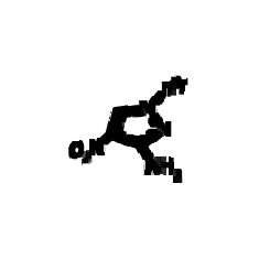 CCCn1cc([N+](=O)[O-])c(N)n1